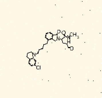 CNC(=O)C(CCC=O)N1Cc2c(CCCCCN3CCCc4ccc(Cl)cc43)cccc2C1=O